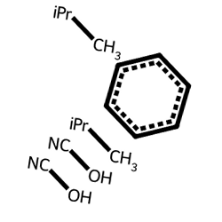 CC(C)C.CC(C)C.N#CO.N#CO.c1ccccc1